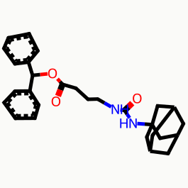 O=C(NCCCC(=O)OC(c1ccccc1)c1ccccc1)NC12CC3CC(CC(C3)C1)C2